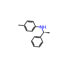 Cc1ccc(N[C@@H](C)c2ccccc2)cc1